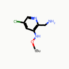 CC(C)(C)ONc1cc(Cl)cnc1CN